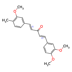 COc1cc(/C=C/C(=O)/C=C/c2ccc(OC)c(OC)c2)ccc1C